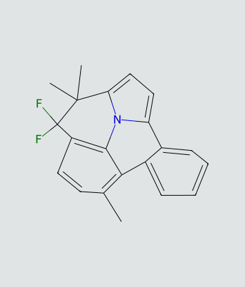 Cc1ccc2c3c1c1ccccc1c1ccc(n13)C(C)(C)C2(F)F